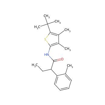 CCC(C(=O)Nc1sc(C(C)(C)C)c(C)c1C)c1ccccc1C